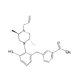 C=CCN1C[C@H](C)N(c2c(O)cccc2Cc2cccc(C(=O)O)c2)C[C@H]1C